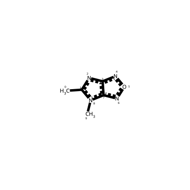 Cc1nc2nonc2n1C